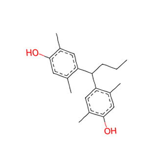 CCCC(c1cc(C)c(O)cc1C)c1cc(C)c(O)cc1C